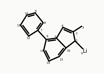 [Li][CH]1C(C)=Cc2c(-c3ccccc3)cccc21